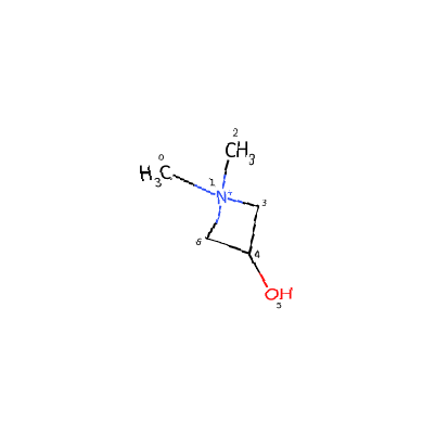 C[N+]1(C)CC(O)C1